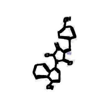 N#Cc1ccc(N2C(=O)N/C(=C\c3ccc(O)cc3)C2=O)c2ccccc12